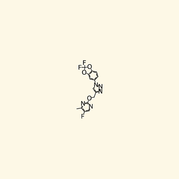 Cc1nc(OCc2cn(-c3ccc4c(c3)OC(F)(F)O4)nn2)ncc1F